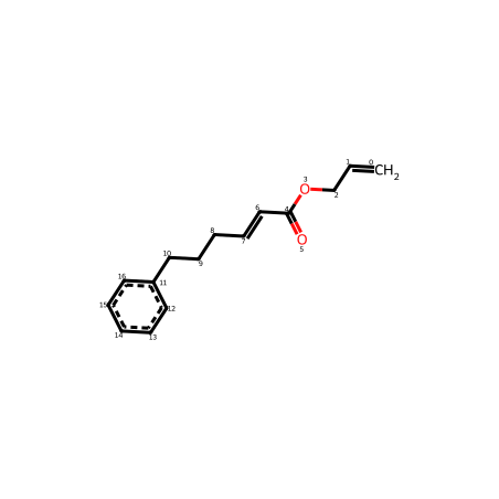 C=CCOC(=O)C=CCCCc1ccccc1